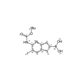 CC(C)(C)OC(=O)Nc1nc2cc(B(O)O)sc2cc1I